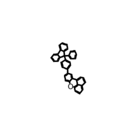 c1ccc(C2(c3ccc(-c4ccc5c(c4)-c4cccc6cccc(c46)O5)cc3)c3ccccc3-c3ccccc32)cc1